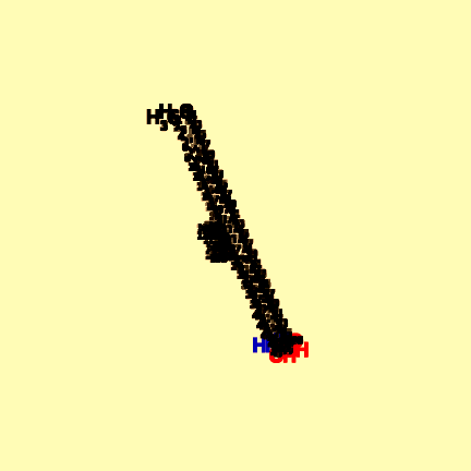 CCCCCCCCCCCCCCCCCCCCCCCCCCCCCCCCCCCCCCCCCCCCCCNC(=O)O.CCCCCCCCCCCCCCCCCCCCCCCCCCCCCCCCCCCCCCCCCCCCCCNC(=O)O.c1ccc(Cc2ccccc2)cc1